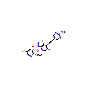 COc1ncc(Cl)cc1S(=O)(=O)Nc1ncc(F)c(C#Cc2cnc(N)nc2)c1F